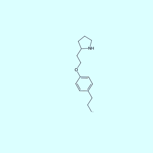 [CH2]CCc1ccc(OCCC2CCCN2)cc1